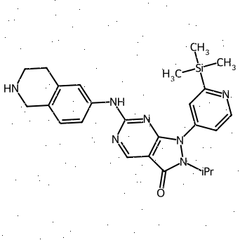 CC(C)n1c(=O)c2cnc(Nc3ccc4c(c3)CCNC4)nc2n1-c1ccnc([Si](C)(C)C)c1